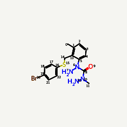 Cc1cccc(N(N)C(=O)N(C)N)c1CSc1ccc(Br)cc1